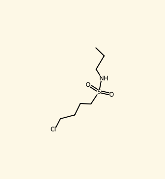 CCCNS(=O)(=O)CCCCCl